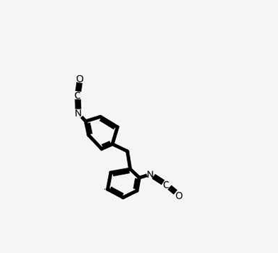 O=C=Nc1ccc(Cc2c[c]ccc2N=C=O)cc1